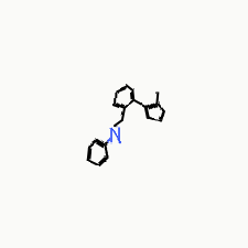 CC1=C(c2ccccc2CC=Nc2ccccc2)CC=C1